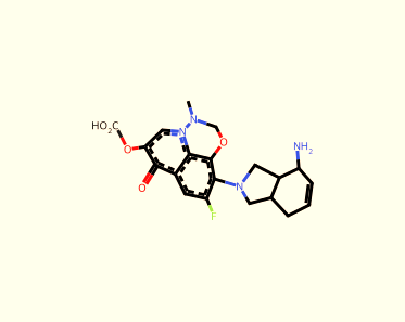 CN1COc2c(N3CC4CC=CC(N)C4C3)c(F)cc3c(=O)c(OC(=O)O)cn1c23